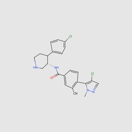 Cn1ncc(Cl)c1-c1ccc(C(=O)N[C@@H]2CNCCC2c2ccc(Cl)cc2)cc1C#N